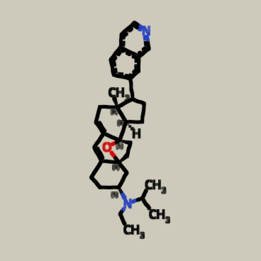 CCN(C(C)C)[C@H]1CCC2=CC3=CC[C@]4(C)C(c5ccc6ccncc6c5)CC[C@H]4[C@@]34CC[C@]2(C1)O4